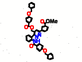 COC(=O)c1cccc(-c2cc(COC(=O)c3ccc(OCc4ccccc4)cc3)c(-c3ccccc3NC(=O)c3ccc(OCc4ccccc4)cc3)nn2)c1